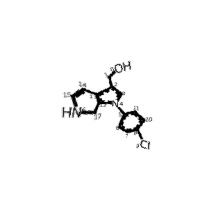 OCc1cn(-c2ccc(Cl)cc2)c2c1C=CNC2